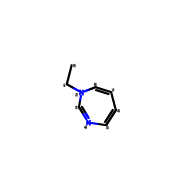 CCN1[C]=NC=CC=C1